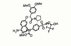 COC(=O)Nc1ccc(S(=O)(=O)C(C)C)c([C@H]2CCCN2C(=O)[C@H](Oc2ccc3c(N)nccc3c2)c2ccc(OC)c(OC)c2)c1.O=C(O)C(F)(F)F